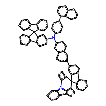 c1ccc2c(c1)-c1ccccc1C21c2ccccc2-c2ccc(N(c3ccc(-c4cccc5ccccc45)cc3)c3ccc4cc(-c5ccc6c(c5)C5(c7ccccc7-6)c6ccccc6-n6c7ccccc7c7cccc5c76)ccc4c3)cc21